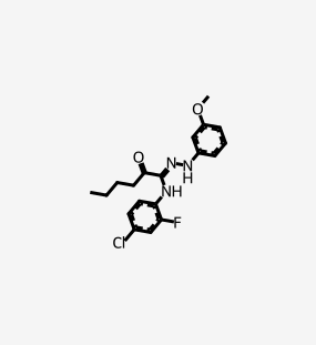 CCCCC(=O)/C(=N/Nc1cccc(OC)c1)Nc1ccc(Cl)cc1F